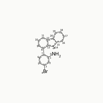 Nc1cc(Br)ccc1-c1cccc2c1sc1ccccc12